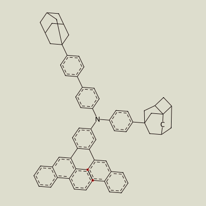 c1ccc2cc(-c3cc(N(c4ccc(-c5ccc(C67CC8CC(CC(C8)C6)C7)cc5)cc4)c4ccc(C56CC7CC8CC(C5)C8(C7)C6)cc4)ccc3-c3cc4ccccc4c4ccccc34)ccc2c1